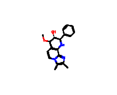 CO[C@@H]1c2ccn3c(C)c(C)nc3c2N[C@H](c2ccccc2)[C@H]1O